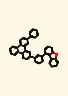 c1ccc(-c2ccc3c4ccccc4c4ccc(-c5cccc(-c6cccc7oc8ccccc8c67)c5)cc4c3c2)cc1